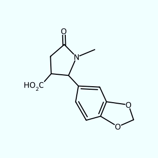 CN1C(=O)CC(C(=O)O)C1c1ccc2c(c1)OCO2